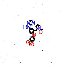 CC(=O)N1CCCC1Cc1cc(Nc2cnccn2)ccc1Oc1ccc(S(C)(=O)=O)cc1